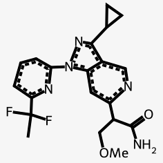 COCC(C(N)=O)c1cc2c(cn1)c(C1CC1)nn2-c1cccc(C(C)(F)F)n1